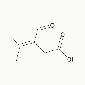 CC(C)=C([C]=O)CC(=O)O